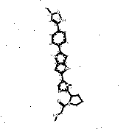 CNCC(=O)N1CCCC1c1ncc(-c2cc3oc(-c4ccc(C5=CN(C)ON5)cc4)cc3s2)[nH]1